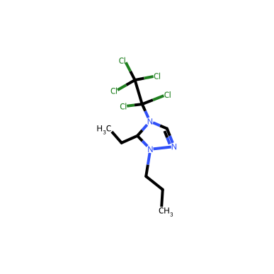 CCCN1N=CN(C(Cl)(Cl)C(Cl)(Cl)Cl)C1CC